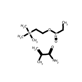 C=C(C)C(N)=O.CC[PH](=O)OCC[N+](C)(C)C